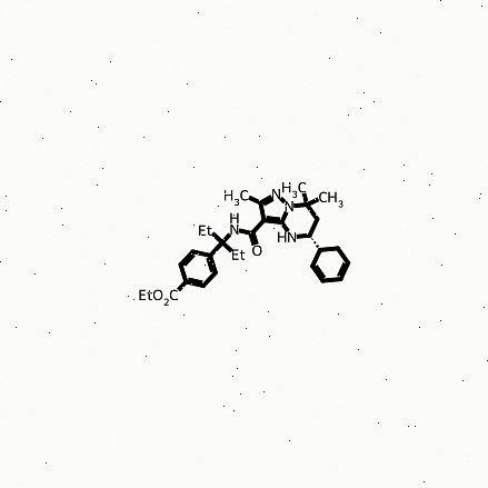 CCOC(=O)c1ccc(C(CC)(CC)NC(=O)c2c(C)nn3c2N[C@@H](C2C=CC=CC2)CC3(C)C)cc1